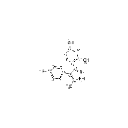 Oc1ccc(-c2n[nH]c(C(F)(F)F)c2-c2ccc(F)cc2)c(O)c1